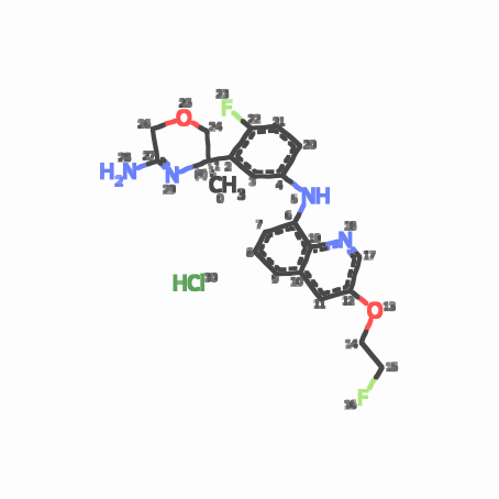 C[C@@]1(c2cc(Nc3cccc4cc(OCCF)cnc34)ccc2F)COCC(N)=N1.Cl